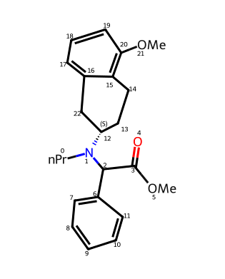 CCCN(C(C(=O)OC)c1ccccc1)[C@H]1CCc2c(cccc2OC)C1